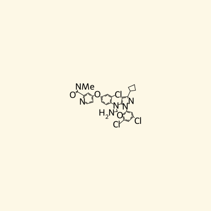 CNC(=O)c1cc(Oc2ccc(N(C(N)=O)c3cc(C4CCC4)nn3-c3cc(Cl)cc(Cl)c3)c(Cl)c2)ccn1